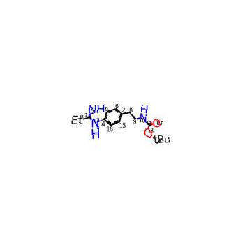 CCC(=N)Nc1ccc(CCNC(=O)OC(C)(C)C)cc1